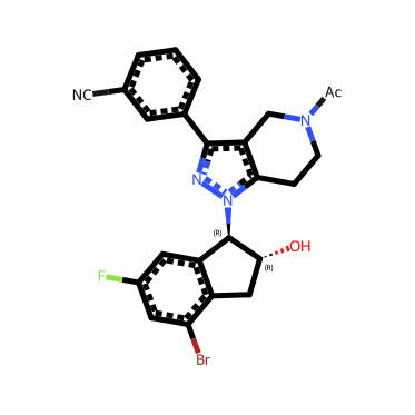 CC(=O)N1CCc2c(c(-c3cccc(C#N)c3)nn2[C@@H]2c3cc(F)cc(Br)c3C[C@H]2O)C1